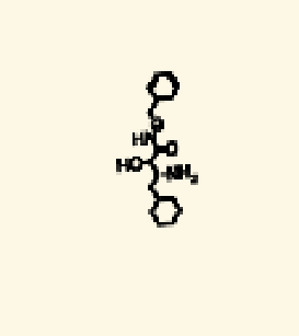 N[C@H](CC1CCCCC1)C(O)C(=O)NOCc1ccccc1